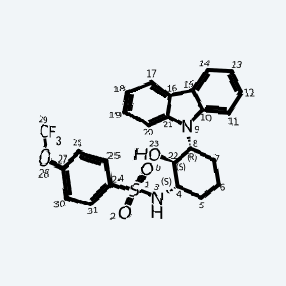 O=S(=O)(N[C@H]1CCC[C@@H](n2c3ccccc3c3ccccc32)[C@@H]1O)c1ccc(OC(F)(F)F)cc1